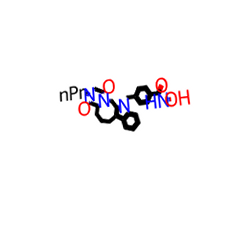 CCCN1CC(=O)N2Cc3c(c4ccccc4n3Cc3ccc(C(=O)NO)cc3)CCCC2C1=O